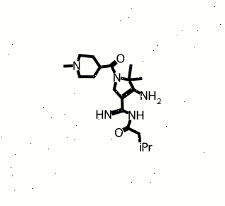 CC(C)CC(=O)NC(=N)C1=C(N)C(C)(C)N(C(=O)C2CCN(C)CC2)C1